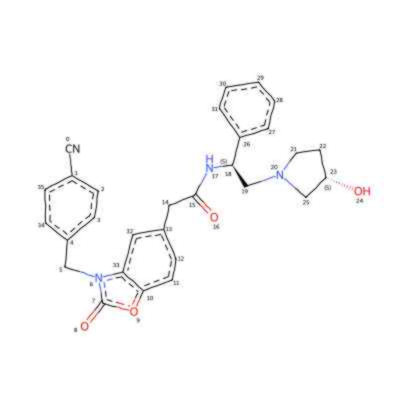 N#Cc1ccc(Cn2c(=O)oc3ccc(CC(=O)N[C@H](CN4CC[C@H](O)C4)c4ccccc4)cc32)cc1